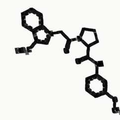 CCOC(=O)c1cn(CC(=O)N2CCCC2C(=O)Nc2cccc(OC(F)(F)F)c2)c2ccccc12